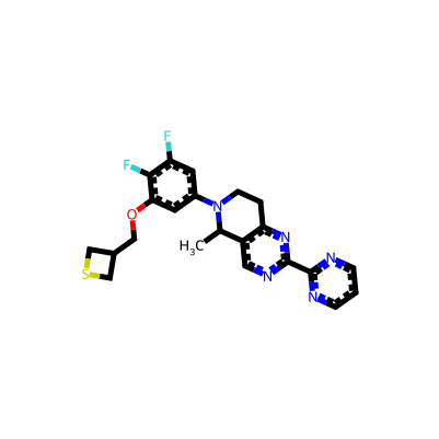 CC1c2cnc(-c3ncccn3)nc2CCN1c1cc(F)c(F)c(OCC2CSC2)c1